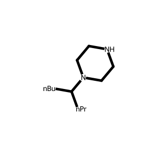 CCCCC(CCC)N1CCNCC1